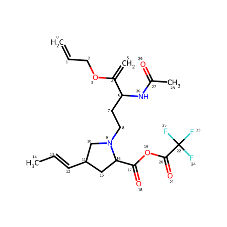 C=CCOC(=C)C(CCN1CC(C=CC)CC1C(=O)OC(=O)C(F)(F)F)NC(C)=O